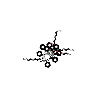 CC(=O)OCCOCCC[Si](C)(C)O[Si]1(c2ccccc2)O[Si]2(c3ccccc3)O[Si](O[Si](C)(C)CCCOCCOC(C)=O)(c3ccccc3)O[Si](c3ccccc3)(O1)O[Si]1(c3ccccc3)O[Si](O[Si](C)(C)CCCOCCOC(C)=O)(c3ccccc3)O[Si](c3ccccc3)(O[Si](O[Si](C)(C)CCCOCCOC(C)=O)(c3ccccc3)O1)O2